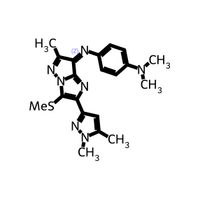 CSc1c(-c2cc(C)n(C)n2)nc2n1N=C(C)/C2=N/c1ccc(N(C)C)cc1